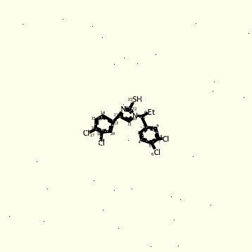 CCC(c1ccc(Cl)c(Cl)c1)n1cc(-c2ccc(Cl)c(Cl)c2)nc1S